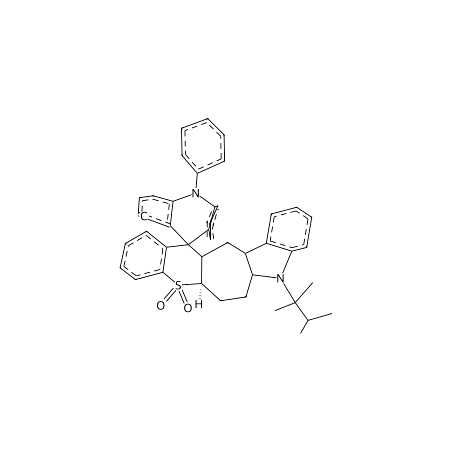 CC(C)C(C)(C)N1c2ccccc2C2CC3[C@@H](CCC21)S(=O)(=O)c1ccccc1C31c2ccccc2N(c2ccccc2)c2ccccc21